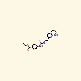 CCOC(=O)c1ccc(NC(=O)NCCc2ccc3c(n2)NCCC3)cc1